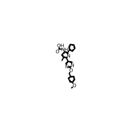 COc1ccc(COc2ncc(-c3nc(-c4ccccc4)c(NC(=O)O)cc3C)cn2)cc1